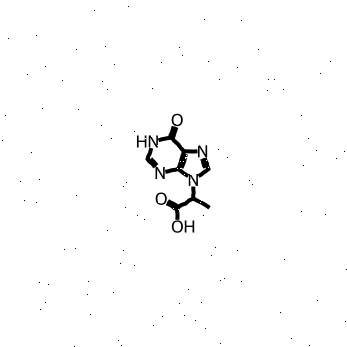 CC(C(=O)O)n1cnc2c(=O)[nH]cnc21